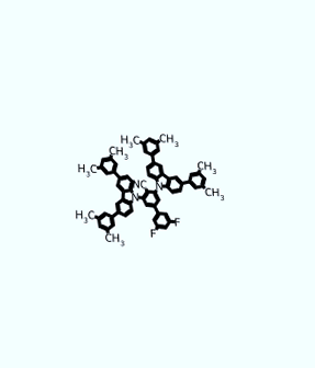 Cc1cc(C)cc(-c2ccc3c(c2)c2cc(-c4cc(C)cc(C)c4)ccc2n3-c2cc(-c3cc(F)cc(F)c3)cc(-n3c4ccc(-c5cc(C)cc(C)c5)cc4c4cc(-c5cc(C)cc(C)c5)ccc43)c2C#N)c1